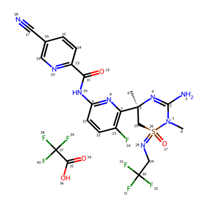 CN1C(N)=N[C@](C)(c2nc(NC(=O)c3ccc(C#N)cn3)ccc2F)C[S@@]1(=O)=NCC(F)(F)F.O=C(O)C(F)(F)F